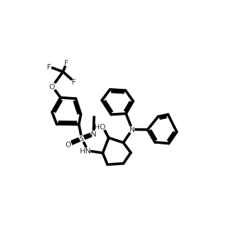 CN=S(=O)(NC1CCCC(N(c2ccccc2)c2ccccc2)C1O)c1ccc(OC(F)(F)F)cc1